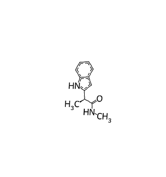 CNC(=O)[C@@H](C)c1cc2ccccc2[nH]1